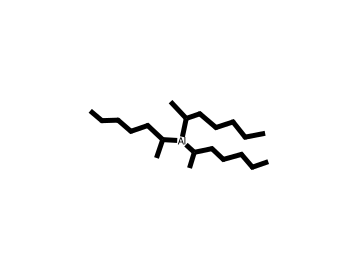 CCCCC[CH](C)[Al]([CH](C)CCCCC)[CH](C)CCCCC